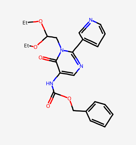 CCOC(Cn1c(-c2cccnc2)ncc(NC(=O)OCc2ccccc2)c1=O)OCC